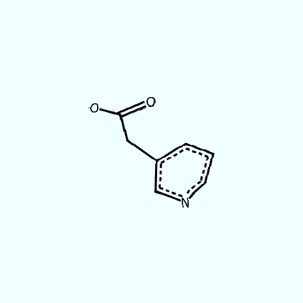 [O]C(=O)Cc1cccnc1